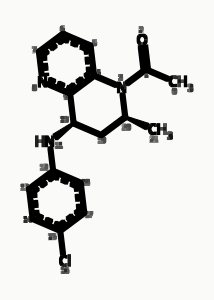 CC(=O)N1c2cccnc2[C@H](Nc2ccc(Cl)cc2)C[C@@H]1C